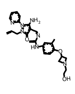 C=CCn1c(=O)c(/C=N\C(=C)Nc2ccc(OC3CN(CCO)C3)c(C)c2)c(N)n1-c1ccccn1